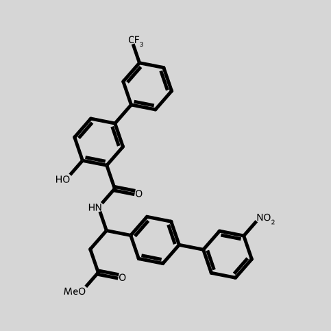 COC(=O)CC(NC(=O)c1cc(-c2cccc(C(F)(F)F)c2)ccc1O)c1ccc(-c2cccc([N+](=O)[O-])c2)cc1